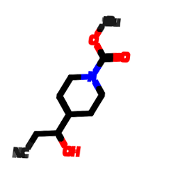 CC(C)(C)OC(=O)N1CCC(C(O)CC#N)CC1